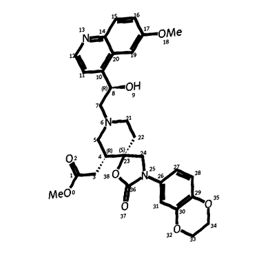 COC(=O)C[C@@H]1CN(C[C@H](O)c2ccnc3ccc(OC)cc23)CC[C@@]12CN(c1ccc3c(c1)OCCO3)C(=O)O2